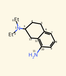 CCN(CC)C1CCc2cccc(N)c2C1